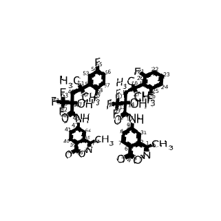 Cc1noc(=O)c2ccc(NC(=O)C(O)(CC(C)(C)c3c(F)cccc3F)C(F)(F)F)cc12.Cc1noc(=O)c2ccc(NC(=O)C(O)(CC(C)(C)c3cc(F)ccc3F)C(F)(F)F)cc12